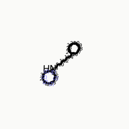 C1=C\C=C/C=C\C(NCCCCCCCc2ccccccccc2)=C/C=C\C=C/1